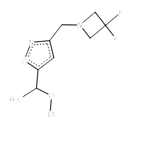 CCOC(C)c1cc(CN2CC(F)(F)C2)no1